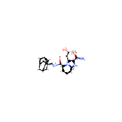 C[C@@H](O)Cc1c(C(N)=O)nc2cccc(C(=O)NCC34CC5CC(CC(C5)C3)C4)n12